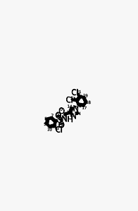 O=C(NS(=O)(=O)c1ccccc1Cl)c1cn(-c2cccc(Cl)c2Cl)cn1